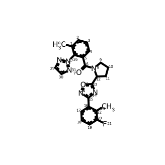 Cc1cccc(C(=O)N2CCCC2c2nc(-c3cccc(F)c3C)no2)c1-n1nccn1